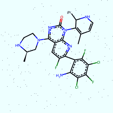 CC1=C(n2c(=O)nc(N3CCN[C@H](C)C3)c3cc(F)c(-c4c(N)c(Cl)c(F)c(Cl)c4F)nc32)C(C(C)C)NC=C1